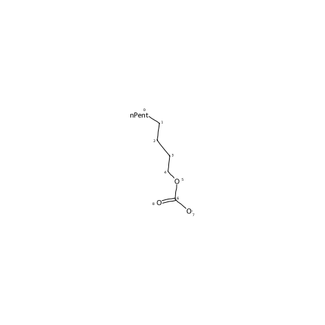 CCCCCCCCCOC([O])=O